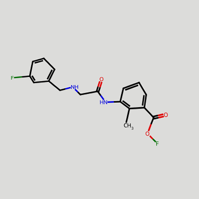 Cc1c(NC(=O)CNCc2cccc(F)c2)cccc1C(=O)OF